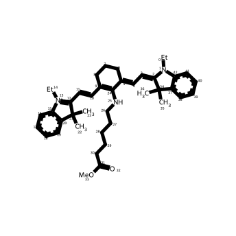 CCN1/C(=C/C=C2\CCCC(/C=C/C3=[N+](CC)c4ccccc4C3(C)C)=C2NCCCCCC(=O)OC)C(C)(C)c2ccccc21